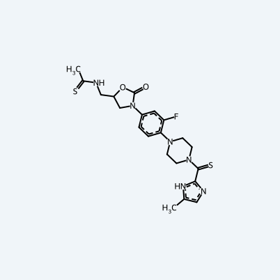 CC(=S)NCC1CN(c2ccc(N3CCN(C(=S)c4ncc(C)[nH]4)CC3)c(F)c2)C(=O)O1